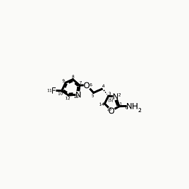 NC1=N[C@@H](CCOc2ccc(F)cn2)CO1